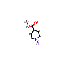 CCOC(=O)C1CCN(I)CC1